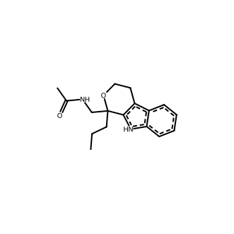 CCCC1(CNC(C)=O)OCCc2c1[nH]c1ccccc21